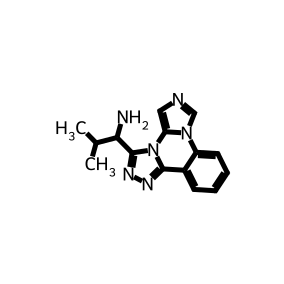 CC(C)C(N)c1nnc2c3ccccc3n3cncc3n12